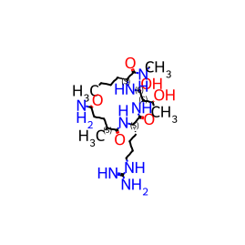 CCCC[C@H](N[C@@H](O)[C@@H](NC(=O)[C@H](CCCCNC(=N)N)NC(=O)[C@@H](C)CCC(N)=O)C(C)O)C(=O)NC